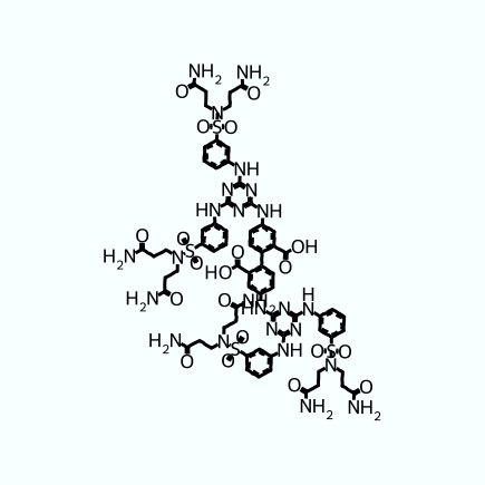 NC(=O)CCN(CCC(N)=O)S(=O)(=O)c1cccc(Nc2nc(Nc3cccc(S(=O)(=O)N(CCC(N)=O)CCC(N)=O)c3)nc(Nc3ccc(-c4ccc(Nc5nc(Nc6cccc(S(=O)(=O)N(CCC(N)=O)CCC(N)=O)c6)nc(Nc6cccc(S(=O)(=O)N(CCC(N)=O)CCC(N)=O)c6)n5)cc4C(=O)O)c(C(=O)O)c3)n2)c1